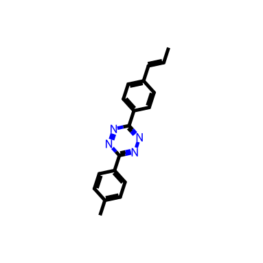 C/C=C/c1ccc(-c2nnc(-c3ccc(C)cc3)nn2)cc1